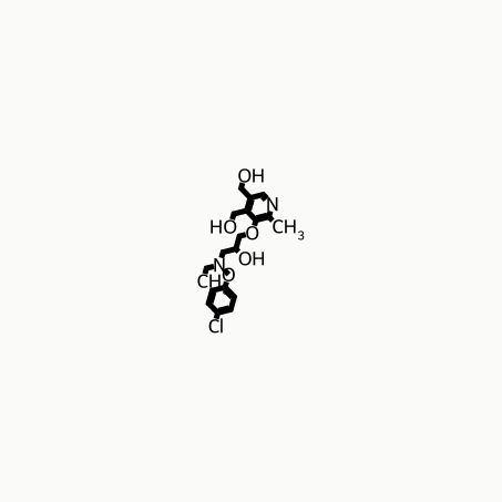 CCN(CC(O)COc1c(C)ncc(CO)c1CO)Oc1ccc(Cl)cc1